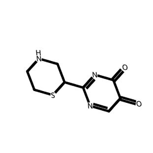 O=C1C=NC(C2CNCCS2)=NC1=O